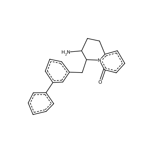 NC1CCc2cccc(=O)n2C1Cc1cccc(-c2ccccc2)c1